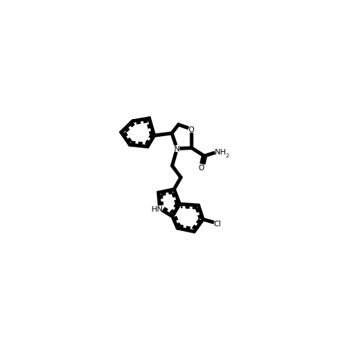 NC(=O)C1OCC(c2ccccc2)N1CCc1c[nH]c2ccc(Cl)cc12